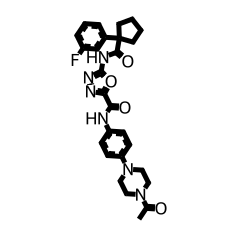 CC(=O)N1CCN(c2ccc(NC(=O)c3nnc(NC(=O)C4(c5cccc(F)c5)CCCC4)o3)cc2)CC1